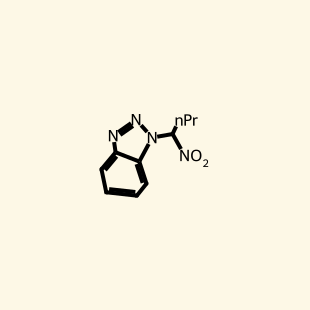 CCCC(n1nnc2ccccc21)[N+](=O)[O-]